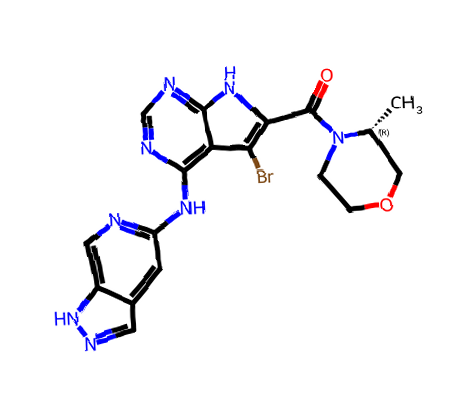 C[C@@H]1COCCN1C(=O)c1[nH]c2ncnc(Nc3cc4cn[nH]c4cn3)c2c1Br